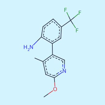 COc1cc(C)c(-c2cc(C(F)(F)F)ccc2N)cn1